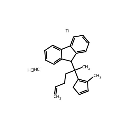 C=CCCC(C)(C1=C(C)C=CC1)C1c2ccccc2-c2ccccc21.Cl.Cl.[Ti]